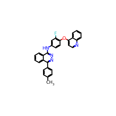 Cc1ccc(-c2nnc(Nc3ccc(Oc4ccnc5ccccc45)c(F)c3)c3ccccc23)cc1